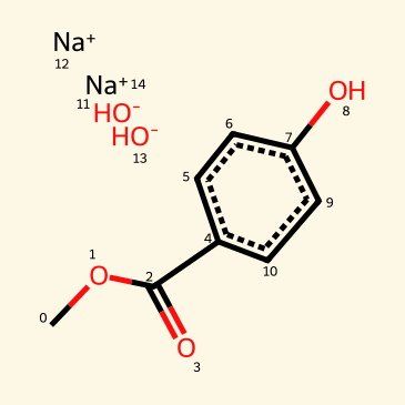 COC(=O)c1ccc(O)cc1.[Na+].[Na+].[OH-].[OH-]